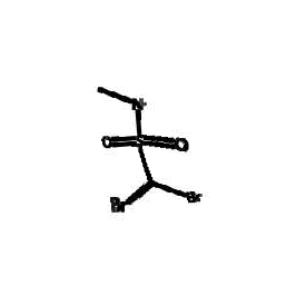 C[N]S(=O)(=O)C(Br)Br